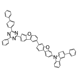 c1ccc(-c2ccc(-c3nc(-c4ccccc4)nc(-c4ccc5c(c4)oc4ccc(-c6ccc7c(c6)oc6cc(-n8c9ccccc9c9cc(-c%10ccccc%10)ccc98)ccc67)cc45)n3)cc2)cc1